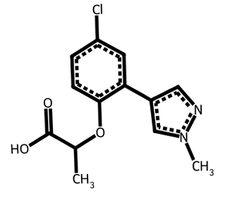 CC(Oc1ccc(Cl)cc1-c1cnn(C)c1)C(=O)O